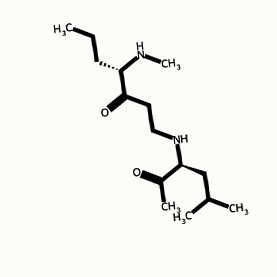 CCC[C@H](NC)C(=O)CCN[C@@H](CC(C)C)C(C)=O